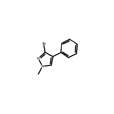 Cn1cc(-c2ccccc2)c(Br)n1